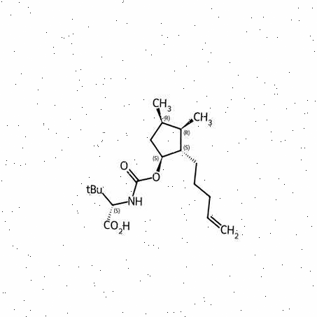 C=CCCC[C@H]1[C@H](C)[C@H](C)C[C@@H]1OC(=O)N[C@H](C(=O)O)C(C)(C)C